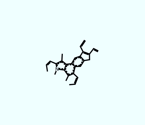 C=CC1=C(C=C)c2cc3c(cc2C1)c(/C=C\C)c(C)c1c3c(C)c(/C=C\C)n1C